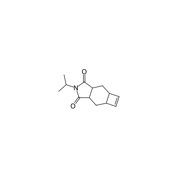 CC(C)N1C(=O)C2CC3C=CC3CC2C1=O